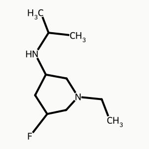 CCN1CC(F)CC(NC(C)C)C1